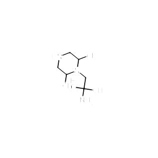 CC1CNCC(C)N1CC(C)(C)N